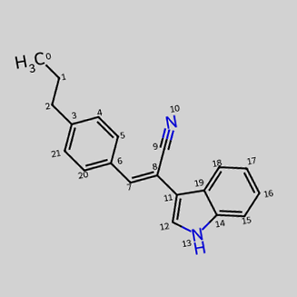 CCCc1ccc(C=C(C#N)c2c[nH]c3ccccc23)cc1